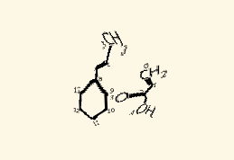 C=CC(=O)O.CC=CC1CCCCC1